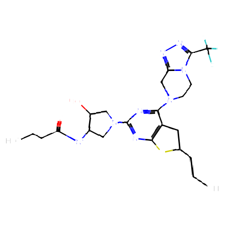 CCCC(=O)NC1CN(c2nc3c(c(N4CCn5c(nnc5C(F)(F)F)C4)n2)CC(CCC)S3)CC1O